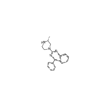 CC1CN(c2nc(-c3ccccc3)c3ccccc3n2)CCN1